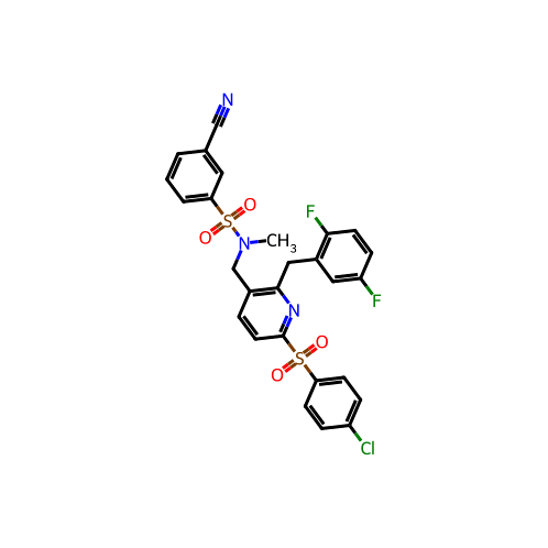 CN(Cc1ccc(S(=O)(=O)c2ccc(Cl)cc2)nc1Cc1cc(F)ccc1F)S(=O)(=O)c1cccc(C#N)c1